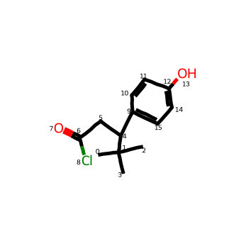 CC(C)(C)C(CC(=O)Cl)c1ccc(O)cc1